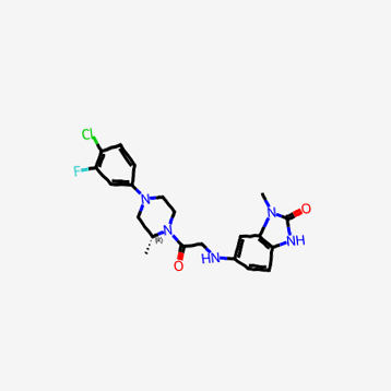 C[C@@H]1CN(c2ccc(Cl)c(F)c2)CCN1C(=O)CNc1ccc2[nH]c(=O)n(C)c2c1